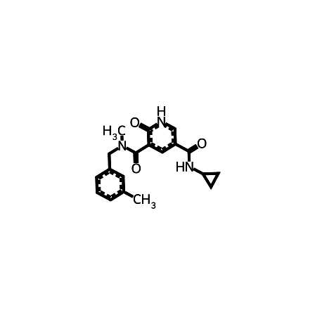 Cc1cccc(CN(C)C(=O)c2cc(C(=O)NC3CC3)c[nH]c2=O)c1